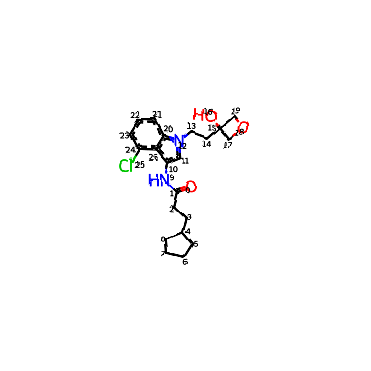 O=C(CCC1CCCC1)Nc1cn(CCC2(O)COC2)c2cccc(Cl)c12